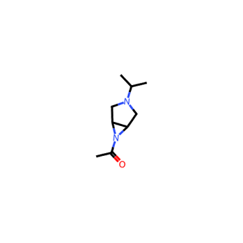 CC(=O)N1C2CN(C(C)C)CC21